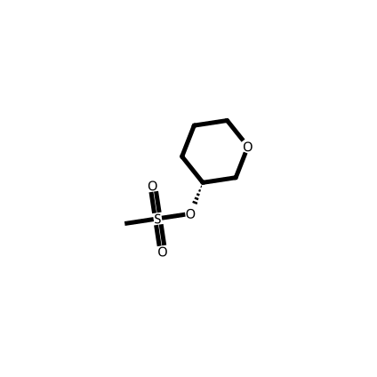 CS(=O)(=O)O[C@@H]1CCCOC1